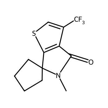 CN1C(=O)c2c(C(F)(F)F)csc2C12CCCC2